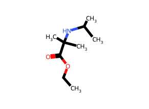 CCOC(=O)C(C)(C)NC(C)C